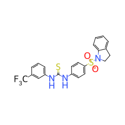 O=S(=O)(c1ccc(NC(=S)Nc2cccc(C(F)(F)F)c2)cc1)N1CCc2ccccc21